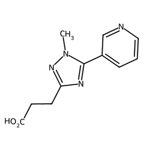 Cn1nc(CCC(=O)O)nc1-c1cccnc1